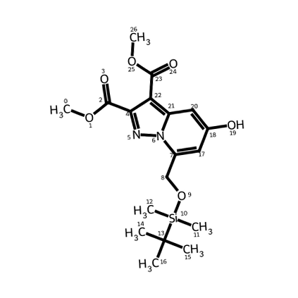 COC(=O)c1nn2c(CO[Si](C)(C)C(C)(C)C)cc(O)cc2c1C(=O)OC